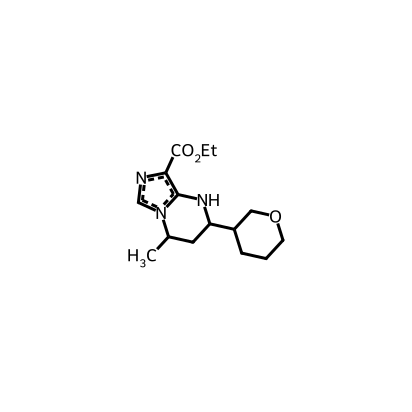 CCOC(=O)c1ncn2c1NC(C1CCCOC1)CC2C